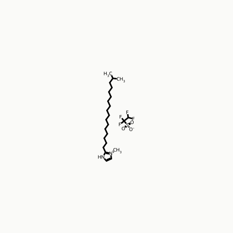 CC(C)CCCCCCCCCCCCCCCc1[nH]cc[n+]1C.O=S(=O)([O-])C(F)(F)C(F)F